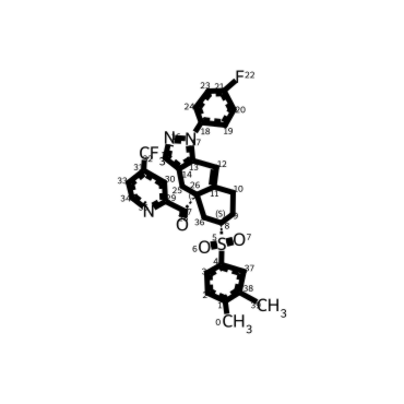 Cc1ccc(S(=O)(=O)[C@H]2CCC3=Cc4c(cnn4-c4ccc(F)cc4)C[C@]3(C(=O)c3cc(C(F)(F)F)ccn3)C2)cc1C